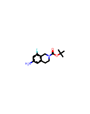 CC(C)(C)OC(=O)N1CCc2cc(N)cc(F)c2C1